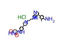 Cc1cc(-c2ccnc3cn(CCCCN4CCC(c5ccc(NC6CCC(=O)NC6=O)cc5)CC4)nc23)ccc1CN.Cl